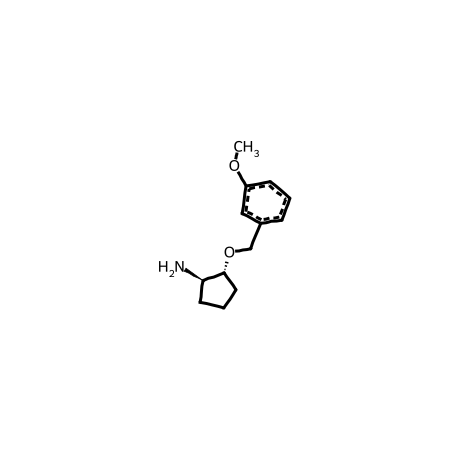 COc1cccc(CO[C@@H]2CCC[C@H]2N)c1